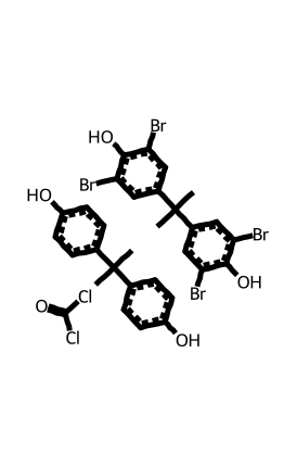 CC(C)(c1cc(Br)c(O)c(Br)c1)c1cc(Br)c(O)c(Br)c1.CC(C)(c1ccc(O)cc1)c1ccc(O)cc1.O=C(Cl)Cl